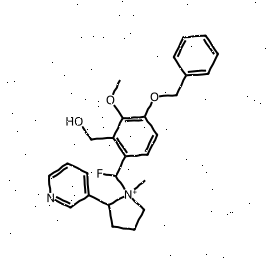 COc1c(OCc2ccccc2)ccc(C(F)[N+]2(C)CCCC2c2cccnc2)c1CO